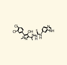 C/C(=N\NC(=S)Nc1ccc2nc[nH]c2c1)c1nn(C)c(-c2ccc(Cl)c(Cl)c2)c1O